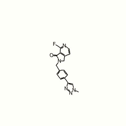 Cn1cc(-c2ccc(CN3Cc4ccnc(F)c4C3=O)cc2)nn1